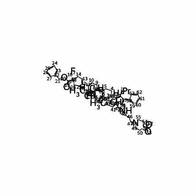 CC(C)C1=C2[C@H]3CC[C@@H]4[C@@]5(C)CC=C(C6=CC[C@](CF)(C(=O)OCc7ccccc7)CC6)C(C)(C)[C@@H]5CC[C@@]4(C)[C@]3(C)CC[C@@]2(CNCCCN2CCS(=O)(=O)CC2)C=C1c1ccccc1